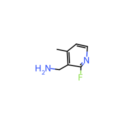 Cc1ccnc(F)c1CN